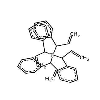 C=C[CH](c1ccccc1)[Ti]([CH](C=C)c1ccccc1)([CH](C=C)c1ccccc1)[CH](C=C)c1ccccc1